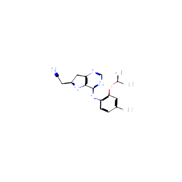 Cc1ccc(Nc2ncnc3c2N=C(CC#N)C3)c(OC(C)C)c1